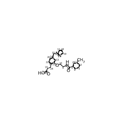 Cc1cccc(C(=O)NCCOc2cc(Cn3cccn3)ccc2CCC(=O)O)c1